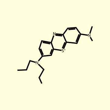 CCCN(CCC)c1ccc2nc3ccc(N(C)C)cc3[s+]c2c1